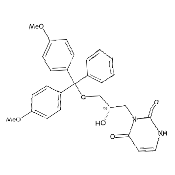 COc1ccc(C(OC[C@@H](O)Cn2c(=O)cc[nH]c2=O)(c2ccccc2)c2ccc(OC)cc2)cc1